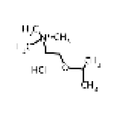 CC(C)OCC[N+](C)(C)C.Cl